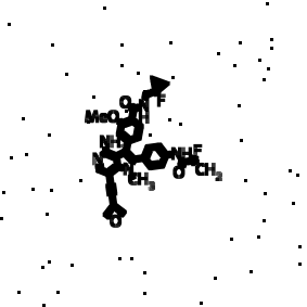 C=C(F)C(=O)Nc1ccc(-c2c(-c3ccc(C(=O)NCC4(F)CC4)c(OC)c3)c3c(N)ncc(C#CC4COC4)c3n2C)cc1